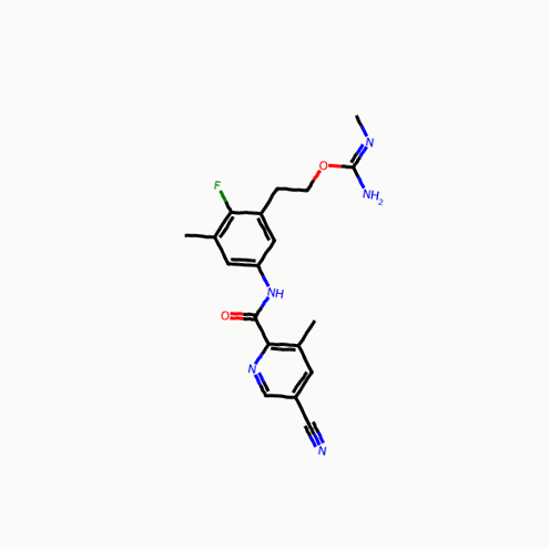 C/N=C(/N)OCCc1cc(NC(=O)c2ncc(C#N)cc2C)cc(C)c1F